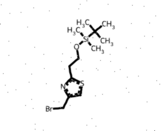 CC(C)(C)[Si](C)(C)OCCc1nc(CBr)cs1